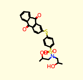 CC(O)CN(CC(C)O)S(=O)(=O)c1ccc(Sc2ccc3c(c2)C(=O)c2ccccc2C3=O)cc1